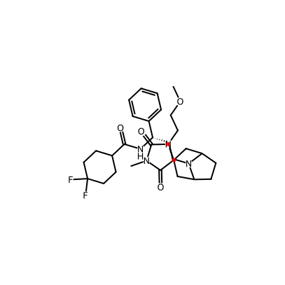 COCCN1C(=O)N(C)C(=O)C12CC1CCC(C2)N1CC[C@H](NC(=O)C1CCC(F)(F)CC1)c1ccccc1